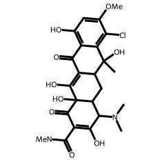 CNC(=O)C1=C(O)C(N(C)C)C2CC3C(=C(O)C2(O)C1=O)C(=O)c1c(O)cc(OC)c(Cl)c1C3(C)O